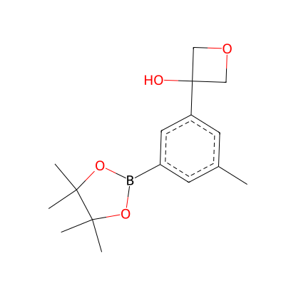 Cc1cc(B2OC(C)(C)C(C)(C)O2)cc(C2(O)COC2)c1